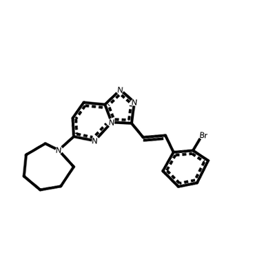 Brc1ccccc1/C=C/c1nnc2ccc(N3CCCCCC3)nn12